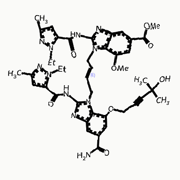 CCn1nc(C)cc1C(=O)Nc1nc2cc(C(=O)OC)cc(OC)c2n1C/C=C/Cn1c(NC(=O)c2cc(C)nn2CC)nc2cc(C(N)=O)cc(OCC#CC(C)(C)O)c21